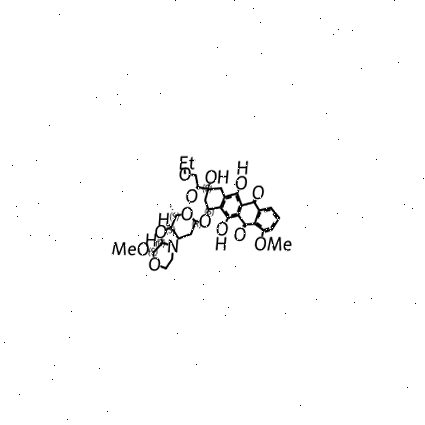 CCOCC(=O)[C@]1(O)Cc2c(O)c3c(c(O)c2[C@@H](O[C@H]2CC4[C@H](O[C@@H]5[C@@H](OC)OCCN45)[C@H](C)O2)C1)C(=O)c1c(OC)cccc1C3=O